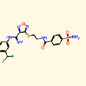 N=C(Nc1ccc(F)c(C(F)F)c1)c1nonc1SCCNC(=O)c1ccc(S(N)(=O)=O)cc1